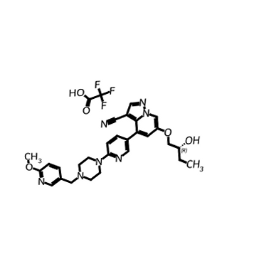 CC[C@@H](O)COc1cc(-c2ccc(N3CCN(Cc4ccc(OC)nc4)CC3)nc2)c2c(C#N)cnn2c1.O=C(O)C(F)(F)F